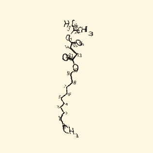 CCCCCCCCCCOC(=O)C=CC(=O)OC(C)C